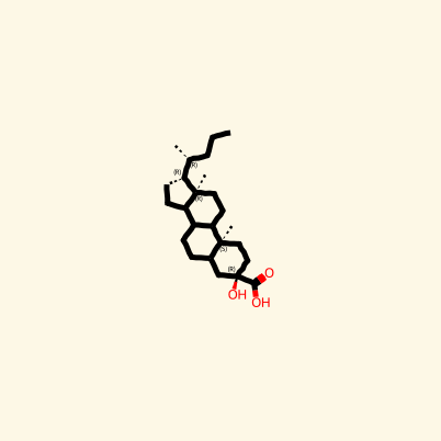 CCC[C@@H](C)[C@H]1CCC2C3CCC4C[C@@](O)(C(=O)O)CC[C@]4(C)C3CC[C@@]21C